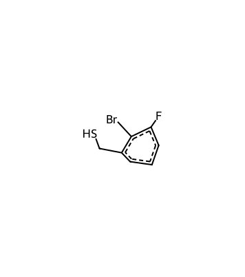 Fc1cccc(CS)c1Br